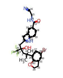 CC(C)(CC(O)(Cc1cc2cc(C(=O)NCC#N)ccc2[nH]1)C(F)(F)F)c1cc(Br)cc2c1OCC2